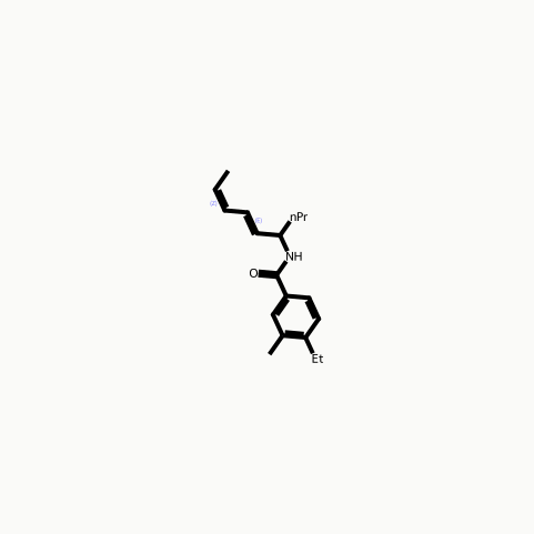 C/C=C\C=C\C(CCC)NC(=O)c1ccc(CC)c(C)c1